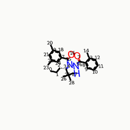 CCC[C@H](N(NC(=O)c1ccccc1C)C(=O)c1cc(C)cc(C)c1)C(C)(C)C